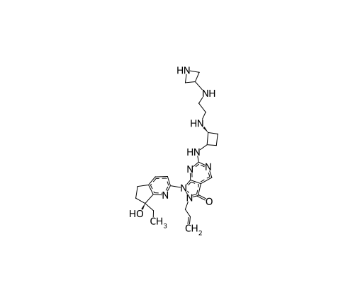 C=CCn1c(=O)c2cnc(NC3CC[C@@H]3NCCNC3CNC3)nc2n1-c1ccc2c(n1)[C@](O)(CC)CC2